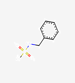 CCS(=O)(=O)NCc1ccccc1